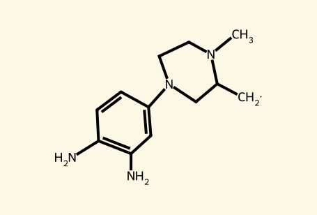 [CH2]C1CN(c2ccc(N)c(N)c2)CCN1C